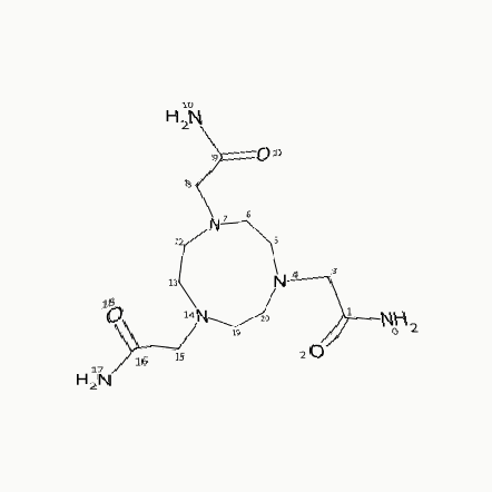 NC(=O)CN1CCN(CC(N)=O)CCN(CC(N)=O)CC1